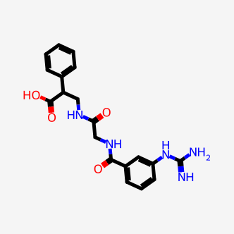 N=C(N)Nc1cccc(C(=O)NCC(=O)NCC(C(=O)O)c2ccccc2)c1